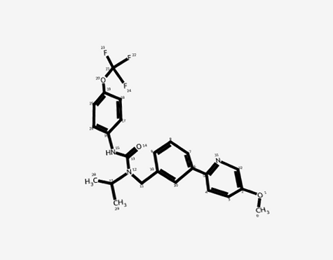 COc1ccc(-c2cccc(CN(C(=O)Nc3ccc(OC(F)(F)F)cc3)C(C)C)c2)nc1